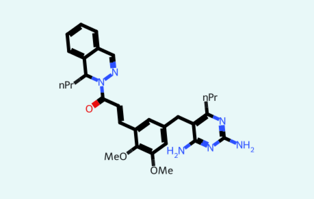 CCCc1nc(N)nc(N)c1Cc1cc(/C=C/C(=O)N2N=Cc3ccccc3C2CCC)c(OC)c(OC)c1